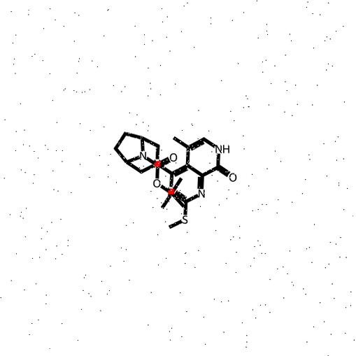 CSc1nc(N2CC3CCC(C2)N3C(=O)OC(C)(C)C)c2c(C)c[nH]c(=O)c2n1